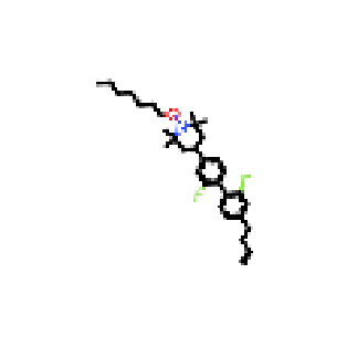 C=CCCc1ccc(-c2ccc(C3CC(C)(C)N(OCCCCCCC)C(C)(C)C3)cc2F)c(F)c1